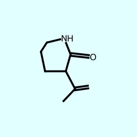 C=C(C)C1CCCNC1=O